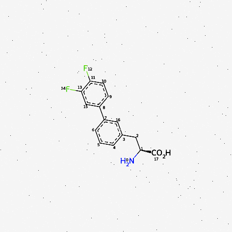 N[C@@H](Cc1cccc(-c2ccc(F)c(F)c2)c1)C(=O)O